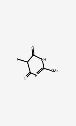 CSC1=NC(=O)C(I)C(=O)N1